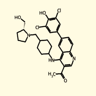 CC(=O)c1cnc2ccc(-c3cc(Cl)c(O)c(Cl)c3)cc2c1NC1CCC(CN2CCC[C@@H]2CO)CC1